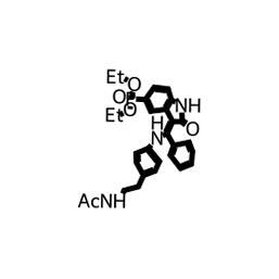 CCOP(=O)(OCC)c1ccc2c(c1)C(=C(Nc1ccc(CCNC(C)=O)cc1)c1ccccc1)C(=O)N2